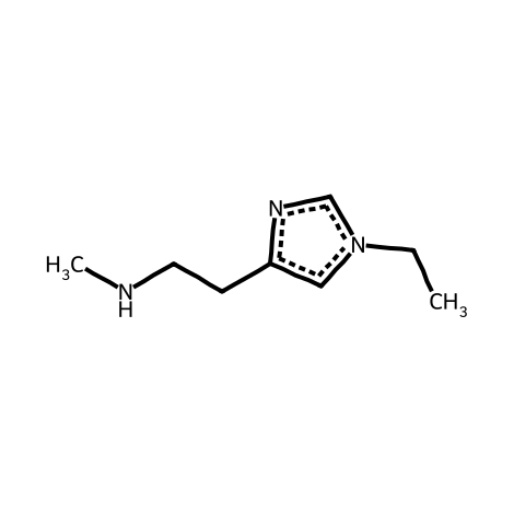 CCn1cnc(CCNC)c1